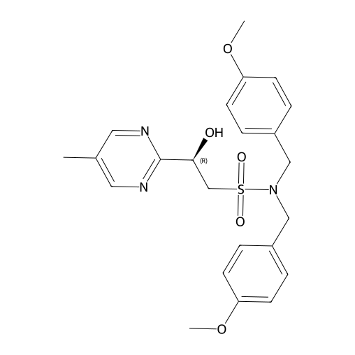 COc1ccc(CN(Cc2ccc(OC)cc2)S(=O)(=O)C[C@H](O)c2ncc(C)cn2)cc1